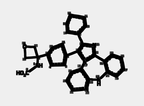 O=C(O)NC1(c2ccc(-c3c(-c4ccccc4)nc4n3-c3cccnc3Nc3ccccc3-4)cc2)COC1